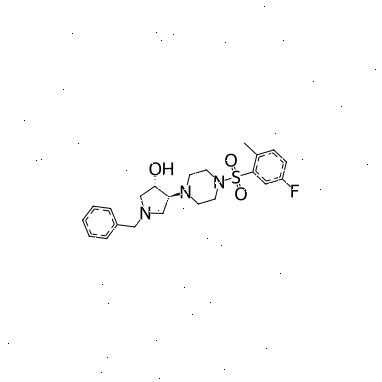 Cc1ccc(F)cc1S(=O)(=O)N1CCN([C@H]2CN(Cc3ccccc3)C[C@@H]2O)CC1